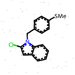 CSc1ccc(Cn2c(Cl)[c]c3ccccc32)cc1